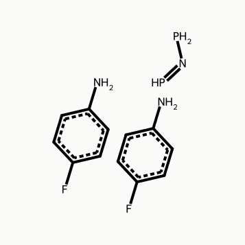 Nc1ccc(F)cc1.Nc1ccc(F)cc1.P=NP